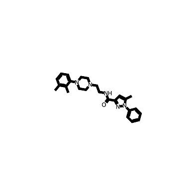 Cc1cccc(N2CCN(CCNC(=O)c3cc(C)n(-c4ccccc4)n3)CC2)c1C